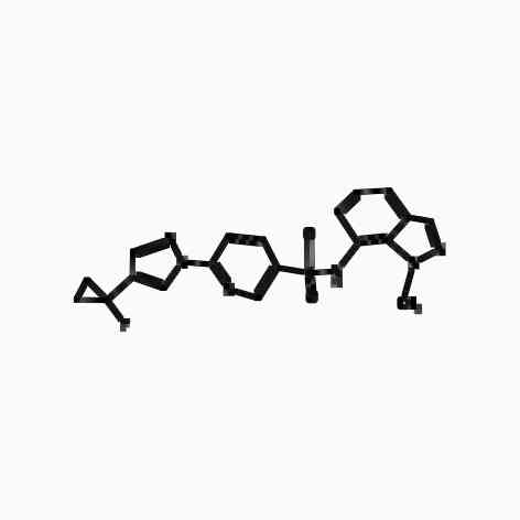 Cn1ncc2cccc(NS(=O)(=O)c3ccc(-n4cc(C5(F)CC5)cn4)nc3)c21